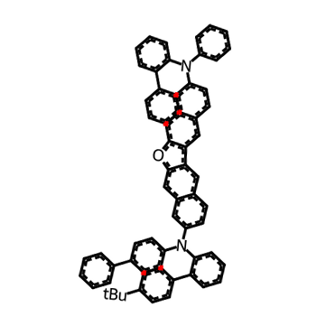 CC(C)(C)c1ccc(-c2ccccc2N(c2ccc(-c3ccccc3)cc2)c2ccc3cc4c(cc3c2)oc2cc3cc(N(c5ccccc5)c5ccccc5-c5ccccc5)ccc3cc24)cc1